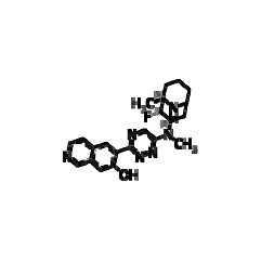 CN(c1cnc(-c2cc3ccncc3cc2O)nn1)[C@@H]1CC2CCC[C@](C)(N2)[C@H]1F